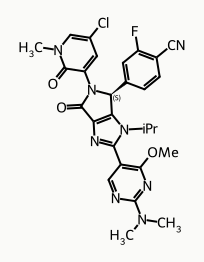 COc1nc(N(C)C)ncc1-c1nc2c(n1C(C)C)[C@H](c1ccc(C#N)c(F)c1)N(c1cc(Cl)cn(C)c1=O)C2=O